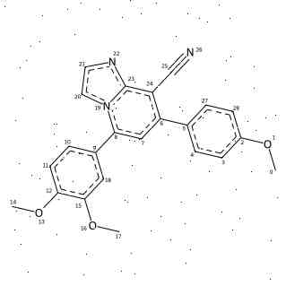 COc1ccc(-c2cc(-c3ccc(OC)c(OC)c3)n3ccnc3c2C#N)cc1